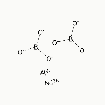 [Al+3].[Nd+3].[O-]B([O-])[O-].[O-]B([O-])[O-]